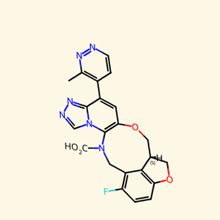 Cc1nnccc1-c1cc2c(n3cnnc13)N(C(=O)O)Cc1c(F)ccc3c1[C@@H](CO3)CO2